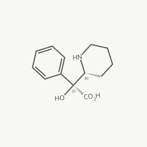 O=C(O)[C@](O)(c1ccccc1)[C@H]1CCCCN1